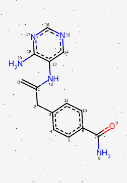 C=C(Cc1ccc(C(N)=O)cc1)Nc1cncnc1N